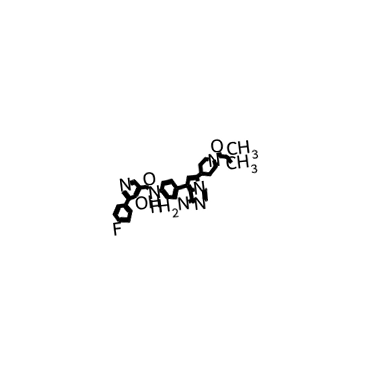 CC(C)C(=O)N1CCC(c2cc(-c3ccc(NC(=O)c4cncc(-c5ccc(F)cc5)c4O)cc3)c3c(N)nccn23)CC1